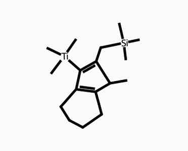 CC1C2=C(CCCC2)[C]([Ti]([CH3])([CH3])[CH3])=C1C[Si](C)(C)C